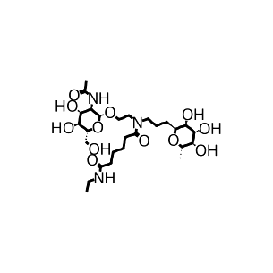 CCNC(=O)CCCCC(=O)N(CCC[C@@H]1O[C@@H](C)[C@@H](O)[C@@H](O)[C@@H]1O)CCO[C@@H]1O[C@H](CO)[C@@H](O)[C@H](O)[C@H]1NC(C)=O